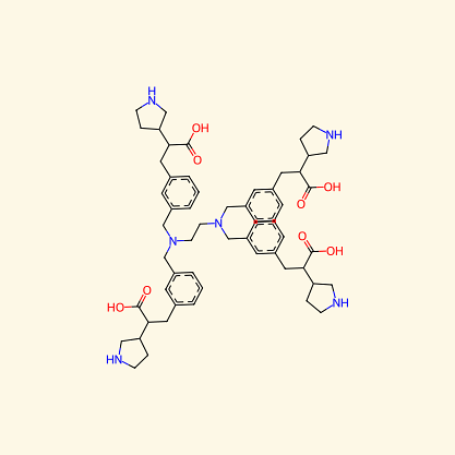 O=C(O)C(Cc1cccc(CN(CCN(Cc2cccc(CC(C(=O)O)C3CCNC3)c2)Cc2cccc(CC(C(=O)O)C3CCNC3)c2)Cc2cccc(CC(C(=O)O)C3CCNC3)c2)c1)C1CCNC1